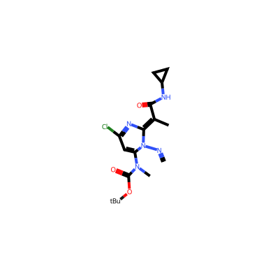 C=NN1C(N(C)C(=O)OC(C)(C)C)=CC(Cl)=N/C1=C(/C)C(=O)NC1CC1